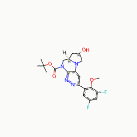 COc1c(F)cc(F)cc1-c1cc2c(nn1)N(C(=O)OC(C)(C)C)C[C@H]1C[C@H](O)CN21